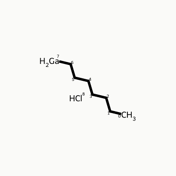 CCCCCC[CH2][GaH2].Cl